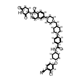 N#Cc1ccc(O[C@H]2CC[C@H](NC(=O)c3ccc(N4CCC(CN5CCN(c6ccc7c(=O)n([C@@H]8CCC(=O)NC8=O)ncc7c6)CC5)CC4)cc3)CC2)cc1Cl